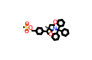 CC(c1ccc(COS(C)(=O)=O)cc1)[C@]1(C)CC(=O)N(C(c2ccccc2)(c2ccccc2)c2ccccc2)C1=O